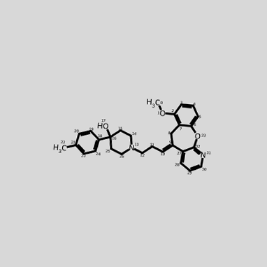 COc1cccc2c1CC(=CCCN1CCC(O)(c3ccc(C)cc3)CC1)c1cccnc1O2